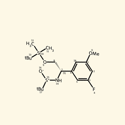 COc1cc(F)cc([C@@H](CO[Si](C)(C)C(C)(C)C)N[S+]([O-])C(C)(C)C)c1